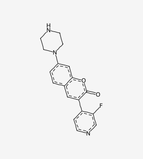 O=c1oc2cc(N3CCNCC3)ccc2cc1-c1ccncc1F